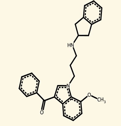 COc1cccc2c(C(=O)c3ccccc3)cn(CCCNC3Cc4ccccc4C3)c12